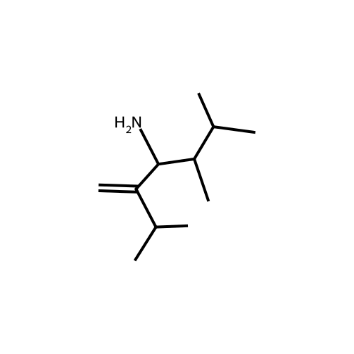 C=C(C(C)C)C(N)C(C)C(C)C